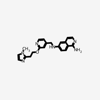 Cn1ccnc1CCOc1cc(CNc2ccc3c(N)nccc3c2)ccn1